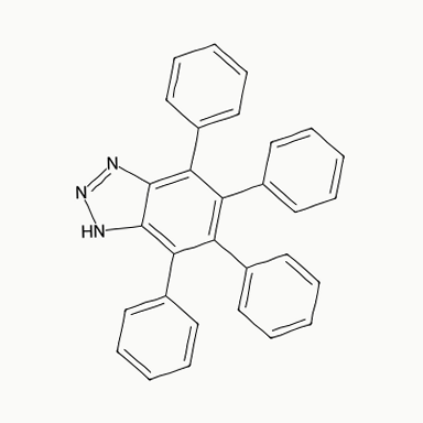 c1ccc(-c2c(-c3ccccc3)c(-c3ccccc3)c3[nH]nnc3c2-c2ccccc2)cc1